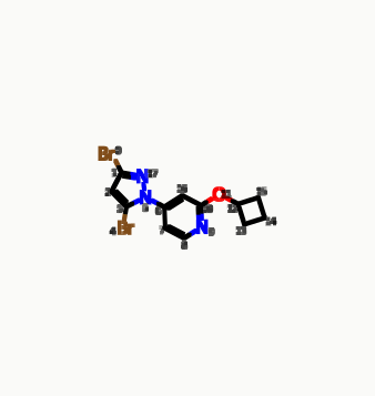 Brc1cc(Br)n(-c2ccnc(OC3CCC3)c2)n1